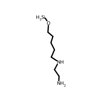 NCCNCCCCCO[SiH3]